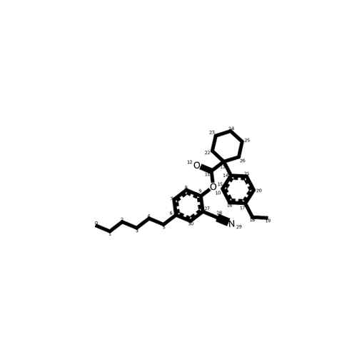 CCCCCCc1ccc(OC(=O)C2(c3ccc(CC)cc3)CCCCC2)c(C#N)c1